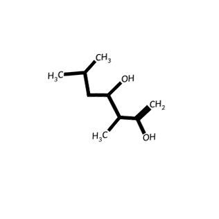 C=C(O)C(C)C(O)CC(C)C